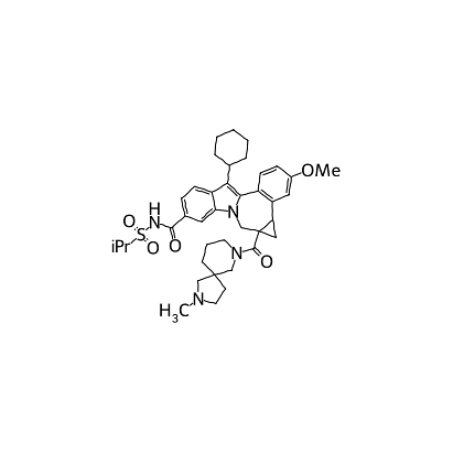 COc1ccc2c(c1)C1CC1(C(=O)N1CCCC3(CCN(C)C3)C1)Cn1c-2c(C2CCCCC2)c2ccc(C(=O)NS(=O)(=O)C(C)C)cc21